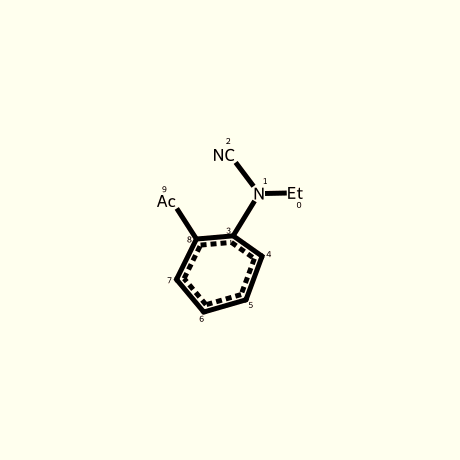 CCN(C#N)c1ccccc1C(C)=O